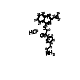 Cl.NCCc1ccc(C(=O)CSc2nc(C3CC3)nc3ccccc23)s1